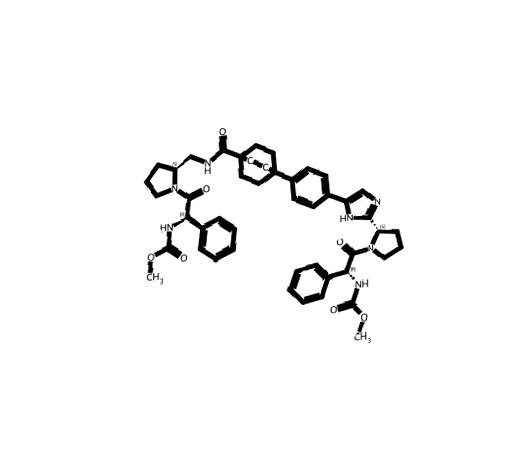 COC(=O)N[C@@H](C(=O)N1CCC[C@H]1CNC(=O)C12CCC(c3ccc(-c4cnc([C@@H]5CCCN5C(=O)[C@H](NC(=O)OC)c5ccccc5)[nH]4)cc3)(CC1)CC2)c1ccccc1